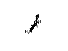 NS(=O)(=O)c1ccc(C(=O)Nc2ccc(S(=O)(=O)NCCCN3CCOCC3)cc2)cc1